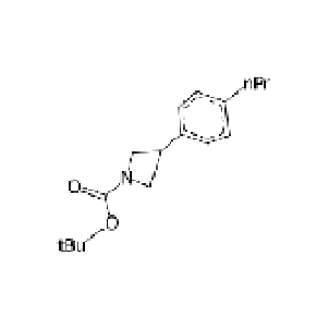 CCCc1ccc(C2CN(C(=O)OC(C)(C)C)C2)cc1